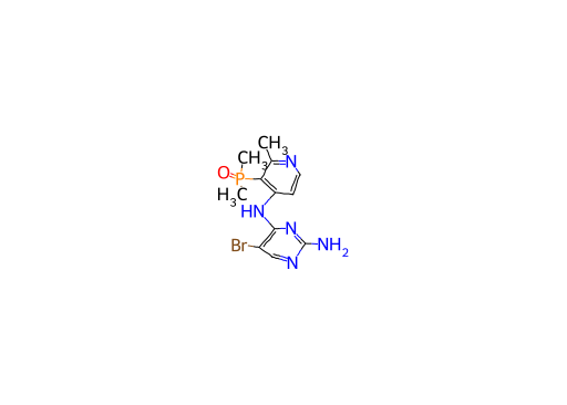 Cc1nccc(Nc2nc(N)ncc2Br)c1P(C)(C)=O